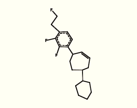 FCCc1ccc(C2C=CCC(C3CCCCC3)CC2)c(F)c1F